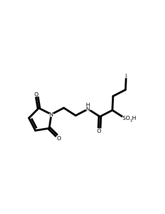 O=C(NCCN1C(=O)C=CC1=O)C(CCI)S(=O)(=O)O